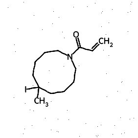 C=CC(=O)N1CCCCC(C)(I)CCCC1